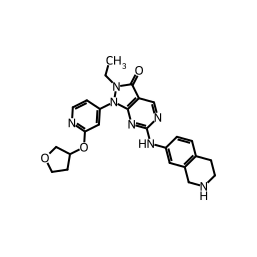 CCn1c(=O)c2cnc(Nc3ccc4c(c3)CNCC4)nc2n1-c1ccnc(OC2CCOC2)c1